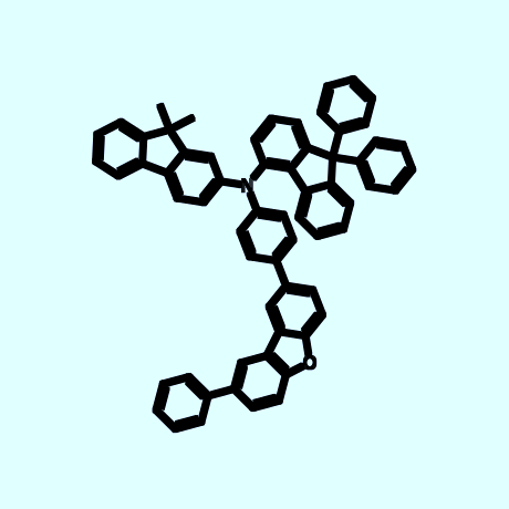 CC1(C)c2ccccc2-c2ccc(N(c3ccc(-c4ccc5oc6ccc(-c7ccccc7)cc6c5c4)cc3)c3cccc4c3-c3ccccc3C4(c3ccccc3)c3ccccc3)cc21